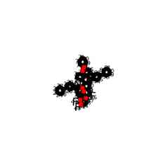 N#Cc1ccc(-n2c3ccc(-c4ccccc4)cc3c3cc(-c4ccccc4)ccc32)c(-c2cc(-c3ccc(C(F)(F)F)cc3C(F)(F)F)ccc2-n2c3ccc(-c4ccccc4)cc3c3cc(-c4ccccc4)ccc32)c1